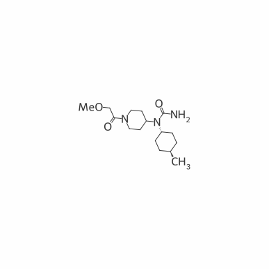 COCC(=O)N1CCC(N(C(N)=O)[C@H]2CC[C@H](C)CC2)CC1